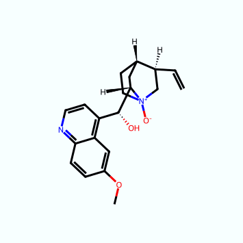 C=C[C@H]1C[N+]2([O-])CC[C@H]1C[C@H]2[C@H](O)c1ccnc2ccc(OC)cc12